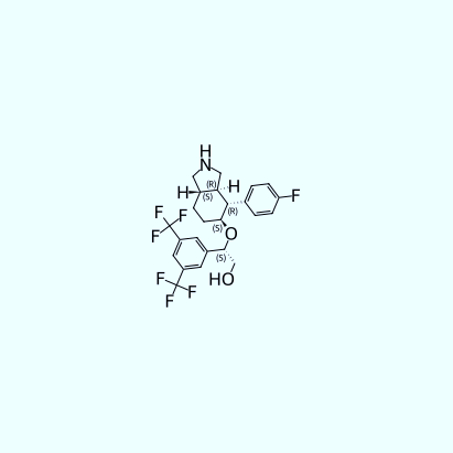 OC[C@@H](O[C@H]1CC[C@@H]2CNC[C@H]2[C@@H]1c1ccc(F)cc1)c1cc(C(F)(F)F)cc(C(F)(F)F)c1